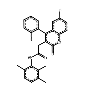 Cc1ccccc1-c1c(CC(=O)Nc2c(C)ccc(C)c2C)c(=O)oc2ccc(Cl)cc12